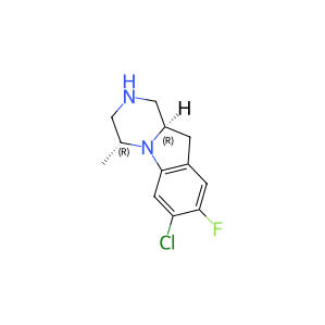 C[C@@H]1CNC[C@H]2Cc3cc(F)c(Cl)cc3N21